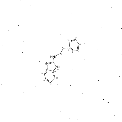 c1ccc(CCNc2nc3ccccc3[nH]2)cc1